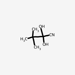 CC(C)(C)C(O)(O)C#N